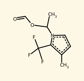 Cc1ccn(C(C)OC=O)c1C(F)(F)F